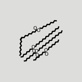 CCCCCCCC/C=C\CCCCCCCC(=O)OCCCCCCCCCC.CCCCCCCCCCCCCCCCOC(=O)CCCCCCC.CCCCCCCCCCCCCCCCOC(=O)CCCCCCC.CCCCCCCCOC(=O)CCCCCCC